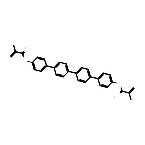 C=C(C)C(=O)Sc1ccc(-c2ccc(-c3ccc(-c4ccc(SC(=O)C(=C)C)cc4)cc3)cc2)cc1